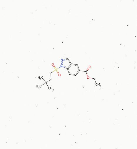 CCOC(=O)c1ccc2c(cnn2S(=O)(=O)CC[Si](C)(C)C)c1